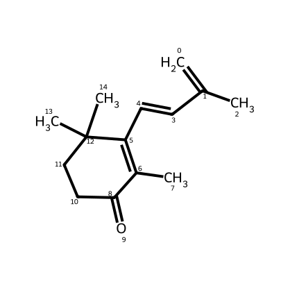 C=C(C)C=CC1=C(C)C(=O)CCC1(C)C